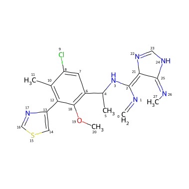 C=N/C(NC(C)c1cc(Cl)c(C)c(-c2cscn2)c1OC)=C1/N=CN/C1=N/C